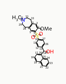 COc1cc2c(cc1S(=O)(=O)c1ccc(C(O)c3cccc4ccccc34)cc1)CCN(C)CC2